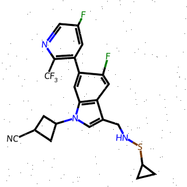 N#CC1CC(n2cc(CNSC3CC3)c3cc(F)c(-c4cc(F)cnc4C(F)(F)F)cc32)C1